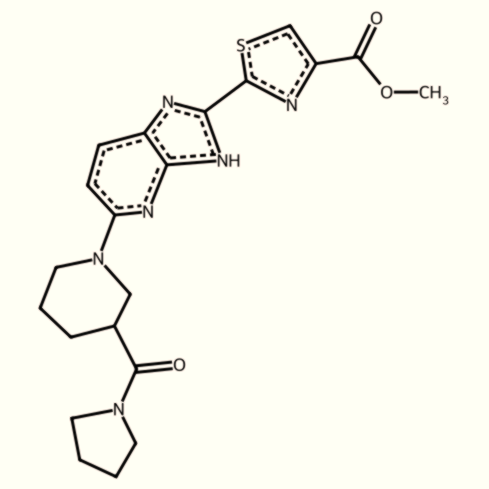 COC(=O)c1csc(-c2nc3ccc(N4CCCC(C(=O)N5CCCC5)C4)nc3[nH]2)n1